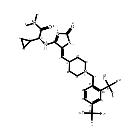 CN(C)C(=O)[C@@H](NC1=NC(=O)SC1=CC1CCN(Cc2ccc(C(F)(F)F)cc2C(F)(F)F)CC1)C1CC1